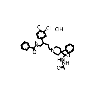 CC(=O)NNC(=O)C1(c2ccccc2)CCN(CCC(CN(C)C(=O)c2ccccc2)c2ccc(Cl)c(Cl)c2)CC1.Cl